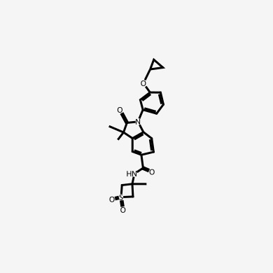 CC1(NC(=O)c2ccc3c(c2)C(C)(C)C(=O)N3c2cccc(OC3CC3)c2)CS(=O)(=O)C1